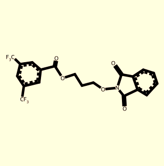 O=C(OCCCON1C(=O)c2ccccc2C1=O)c1cc(C(F)(F)F)cc(C(F)(F)F)c1